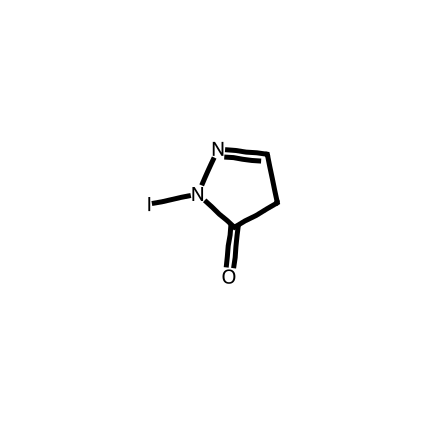 O=C1CC=NN1I